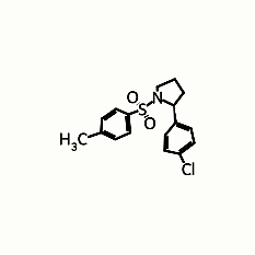 Cc1ccc(S(=O)(=O)N2CCC[C@H]2c2ccc(Cl)cc2)cc1